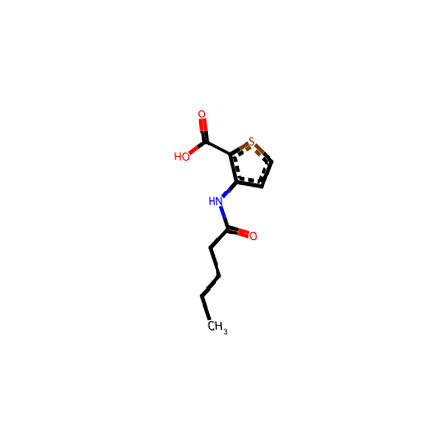 CCCCC(=O)Nc1ccsc1C(=O)O